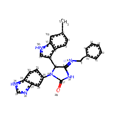 Cc1ccc2c(C3/C(=N/Cc4ccccc4)NC(=O)N3c3ccc4[nH]cnc4c3)c[nH]c2c1